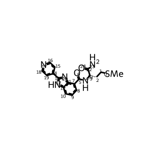 CSCC[C@H](NC(=O)c1cccc2[nH]c(-c3ccncc3)nc12)C(N)=O